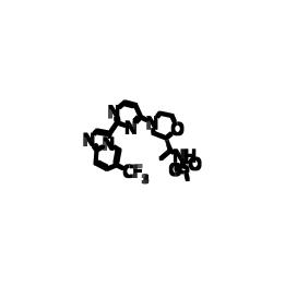 CC(NS(C)(=O)=O)[C@H]1CN(c2ccnc(-c3cnc4ccc(C(F)(F)F)cn34)n2)CCO1